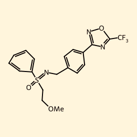 COCCS(=O)(=NCc1ccc(-c2noc(C(F)(F)F)n2)cc1)c1ccccc1